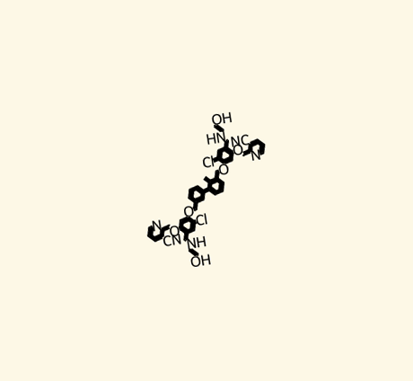 Cc1c(COc2cc(OCc3ncccc3C#N)c(CNCCO)cc2Cl)cccc1-c1cccc(COc2cc(OCc3ncccc3C#N)c(CNCCO)cc2Cl)c1